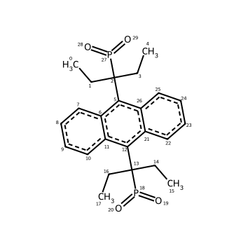 CCC(CC)(c1c2ccccc2c(C(CC)(CC)P(=O)=O)c2ccccc12)P(=O)=O